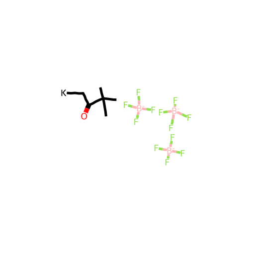 CC(C)(C)C(=O)[CH2][K].F[B-](F)(F)F.F[B-](F)(F)F.F[B-](F)(F)F